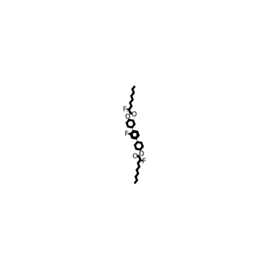 CCCCCCC[C@H](F)C(=O)O[C@H]1CC[C@H](c2ccc([C@H]3CC[C@H](OC(=O)[C@@H](F)CCCCCCC)CC3)c(F)c2)CC1